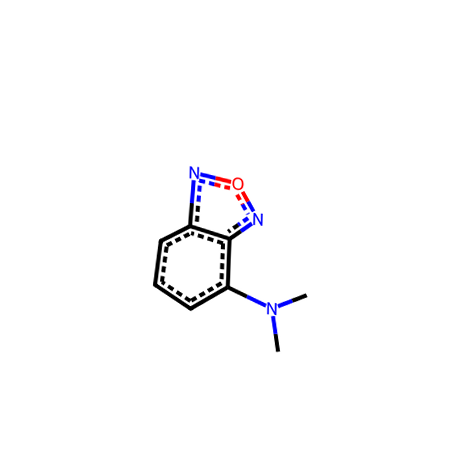 CN(C)c1cccc2nonc12